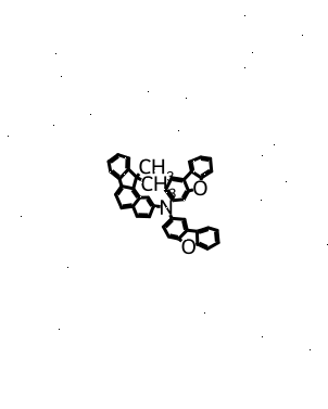 CC1(C)c2ccccc2-c2ccc3ccc(N(c4ccc5c(c4)oc4ccccc45)c4ccc5oc6ccccc6c5c4)cc3c21